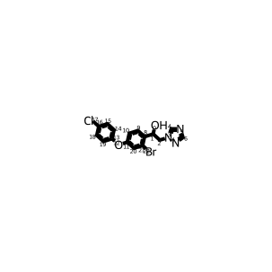 OC(Cn1cncn1)c1ccc(Oc2ccc(Cl)cc2)cc1Br